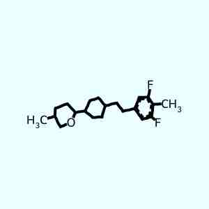 Cc1c(F)cc(CCC2CCC(C3CCC(C)CO3)CC2)cc1F